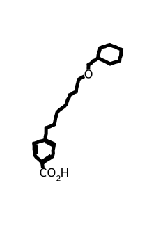 O=C(O)c1ccc(CCCCCCCOCC2CCCCC2)cc1